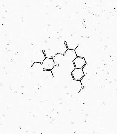 CCOC(=O)[C@H](CSC(=O)C(C)c1ccc2cc(OC)ccc2c1)NC(C)=O